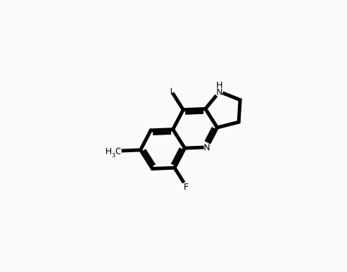 Cc1cc(F)c2nc3c(c(I)c2c1)NCC3